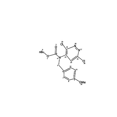 CCCCOC(=O)N(Cc1ccc(OC)cc1)c1cc(Cl)nnc1Cl